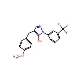 COc1ccc(Cc2cnn(-c3cccc(C(F)(F)F)c3)c2O)cc1